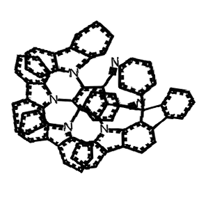 N#Cc1c(C#N)c(-n2c3ccccc3c3ccc4c(c32)C(c2ccccc2)(c2ccccc2)c2ccccc2-4)c(-n2c3ccccc3c3ccccc32)c(-n2c3ccccc3c3ccccc32)c1-n1c2ccccc2c2ccccc21